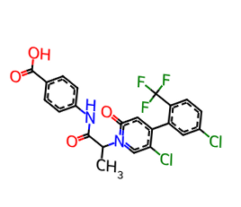 CC(C(=O)Nc1ccc(C(=O)O)cc1)n1cc(Cl)c(-c2cc(Cl)ccc2C(F)(F)F)cc1=O